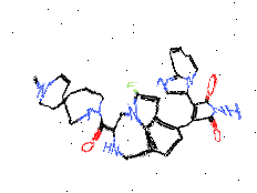 CN1CCC2(CC1)CCN(C(=O)C1Cn3c(F)cc4c(C5=C(c6cnc7ccccn67)C(=O)NC5=O)ccc(c43)CN1)C2